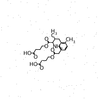 Cc1ccc(CC(=O)OCCCC(=O)O)cc1CC(C)[C@@H](N)C(=O)OCCCC(=O)O